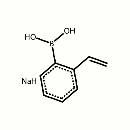 C=Cc1ccccc1B(O)O.[NaH]